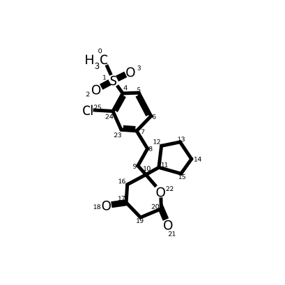 CS(=O)(=O)c1ccc(CCC2(C3CCCC3)CC(=O)CC(=O)O2)cc1Cl